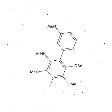 COc1cccc(-c2c(NC(C)=O)c(OC)c(C)c(OC)c2OC(C)=O)c1